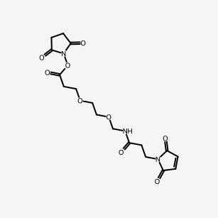 O=C(CCN1C(=O)C=CC1=O)NCOCCOCCC(=O)ON1C(=O)CCC1=O